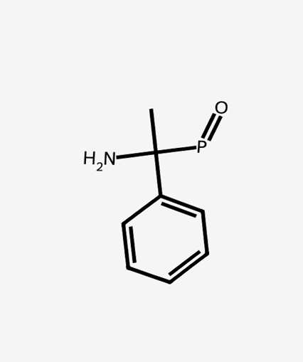 CC(N)(P=O)c1ccccc1